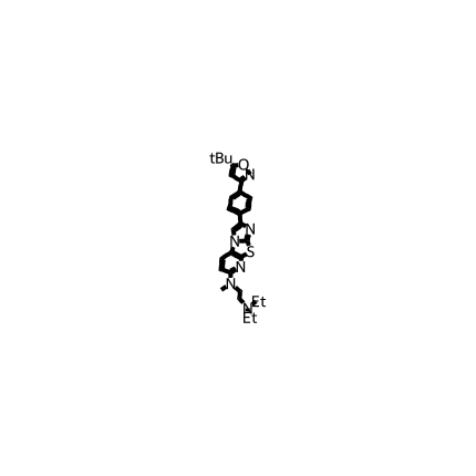 CCN(CC)CCN(C)c1ccc2c(n1)sc1nc(-c3ccc(-c4cc(C(C)(C)C)on4)cc3)cn12